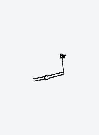 C=C=CBr